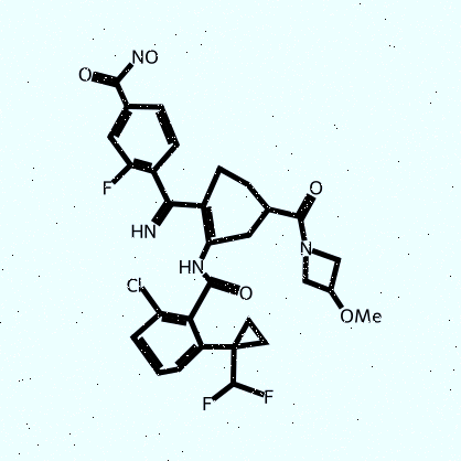 COC1CN(C(=O)C2CCC(C(=N)c3ccc(C(=O)N=O)cc3F)=C(NC(=O)c3c(Cl)cccc3C3(C(F)F)CC3)C2)C1